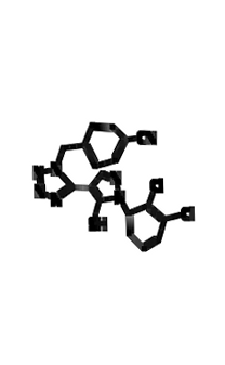 N#Cc1ccc(Cn2nnnc2-c2cnn(-c3cccc(Cl)c3Cl)c2S)cc1